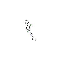 CC/C=C/CCC1(F)C=CC(c2ccccc2)C(F)=C1